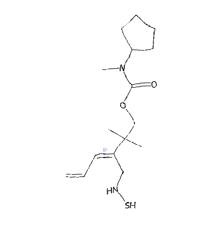 C=C/C=C(\CNS)C(C)(C)COC(=O)N(C)C1CCCC1